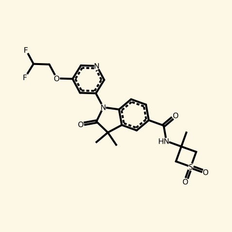 CC1(NC(=O)c2ccc3c(c2)C(C)(C)C(=O)N3c2cncc(OCC(F)F)c2)CS(=O)(=O)C1